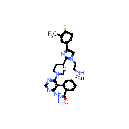 CC(C)(C)NCCn1cc(-c2ccc(F)c(C(F)(F)F)c2)nc1C1CCN(c2ncnc(N)c2-c2ccccc2C(N)=O)CC1